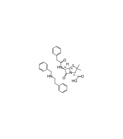 CC1(C)S[C@@H]2[C@H](NC(=O)Cc3ccccc3)C(=O)N2[C@H]1C(=O)O.c1ccc(CCNCc2ccccc2)cc1